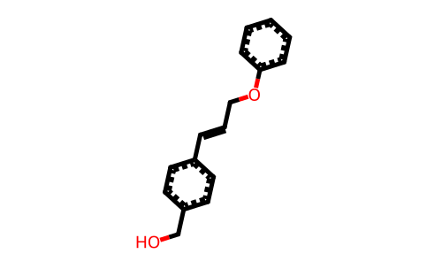 OCc1ccc(C=CCOc2ccccc2)cc1